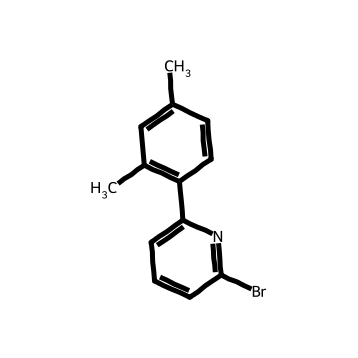 Cc1ccc(-c2cccc(Br)n2)c(C)c1